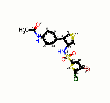 CC(=O)Nc1ccc(-c2cscc2NS(=O)(=O)c2cc(Br)c(Cl)s2)cc1